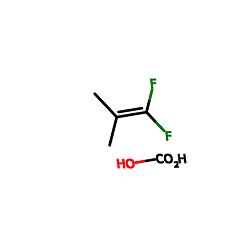 CC(C)=C(F)F.O=C(O)O